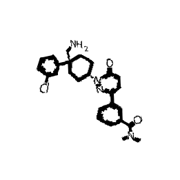 CN(C)C(=O)c1cccc(-c2ccc(=O)n([C@H]3CC[C@@](CN)(c4cccc(Cl)c4)CC3)n2)c1